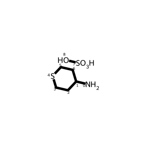 NC1CCSCC1.O=S(=O)(O)O